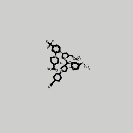 COC[C@@H]1C[C@@H](c2ccc(C(F)(F)F)cc2N2CCC(C(=O)O)CC2)CN1C(=O)[C@]1(F)CN(C2CCC(C#N)CC2)C[C@H]1c1ccc(OC)cc1